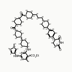 CCOC(=O)c1c(C)nc(Nc2cnn(C)c2)nc1NC1CCC(N2CCN(C(=O)C3CCC(C(=O)N4CCC(CCCN5CCC(c6ccc(C7CCC(=O)NC7=O)cc6)CC5)CC4)CC3)CC2)CC1